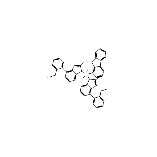 CC(C)Cc1ccccc1-c1cccc2c1C=C(C(C)(C)C)[CH]2[Zr]([Cl])([Cl])([c]1cccc2c1[SiH2]c1ccccc1-2)[CH]1C(C(C)(C)C)=Cc2c(-c3ccccc3CC(C)C)cccc21